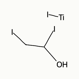 OC(I)CI.[Ti][I]